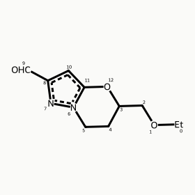 CCOCC1CCn2nc(C=O)cc2O1